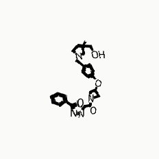 CC1(CO)CCN(Cc2ccc(OC3CN(C(=O)c4nnc(-c5ccccc5)o4)C3)cc2)C1